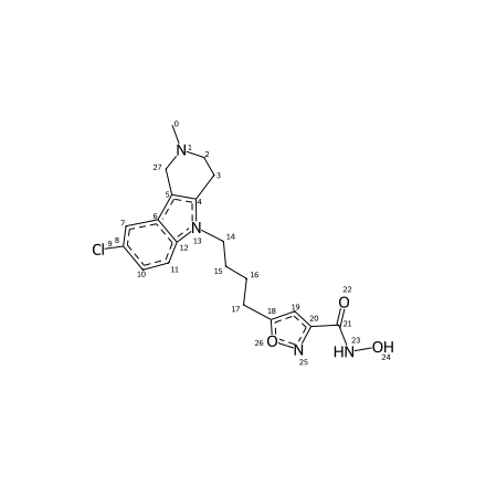 CN1CCc2c(c3cc(Cl)ccc3n2CCCCc2cc(C(=O)NO)no2)C1